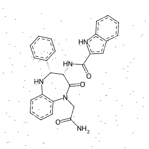 NC(=O)CN1C(=O)[C@@H](NC(=O)c2cc3ccccc3[nH]2)[C@@H](c2ccccc2)Nc2ccccc21